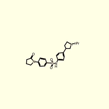 CCCN1CCC(c2ccc(NS(=O)(=O)c3ccc(N4CCCC4=O)cc3)cc2)C1